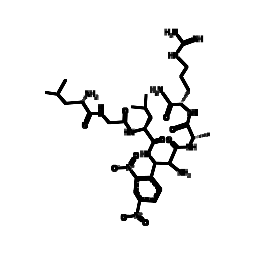 CC(C)C[C@H](NC(=O)CNC(=O)[C@@H](N)CC(C)C)C(=O)NC(c1ccc([N+](=O)[O-])cc1[N+](=O)[O-])C(N)C(=O)N[C@@H](C)C(=O)N[C@@H](CCCNC(=N)N)C(N)=O